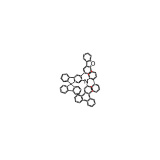 c1ccc(-c2ccccc2N(c2ccc3c4ccccc4c4ccccc4c3c2)c2cc3c(cc2-c2ccc4oc5ccccc5c4c2)-c2ccccc2C32c3ccccc3-c3ccccc32)cc1